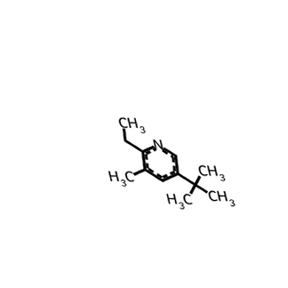 CCc1ncc(C(C)(C)C)cc1C